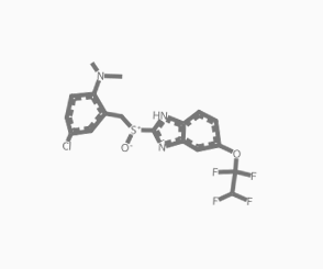 CN(C)c1ccc(Cl)cc1C[S+]([O-])c1nc2cc(OC(F)(F)C(F)F)ccc2[nH]1